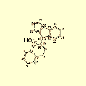 O[C@H]1c2cccnc2CC[C@@H]1[C@@H]1c2ccccc2-c2cncn21